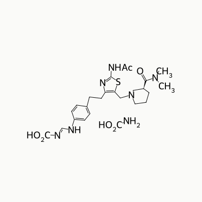 CC(=O)Nc1nc(CCc2ccc(NC=NC(=O)O)cc2)c(CN2CCC[C@H](C(=O)N(C)C)C2)s1.NC(=O)O